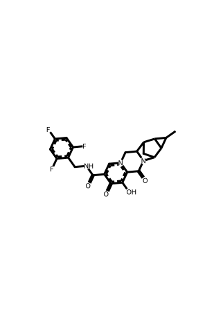 CC1C2C3CC(C12)N1C(=O)c2c(O)c(=O)c(C(=O)NCc4c(F)cc(F)cc4F)cn2CC31